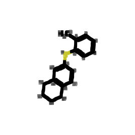 Cc1ccccc1Sc1ccc2c(c1)CCCC2